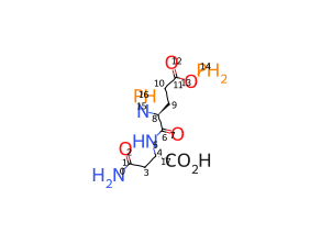 NC(=O)C[C@H](NC(=O)[C@H](CCC(=O)OP)N=P)C(=O)O